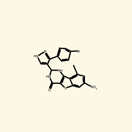 Cc1cc([N+](=O)[O-])cc2sc3c(c12)NC(c1c[nH]nc1-c1ccc(Br)cc1)NC3=O